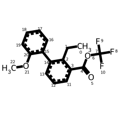 CCc1c(C(=O)OC(F)(F)F)cccc1-c1ccccc1OC